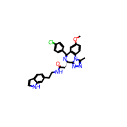 COc1ccc2c(c1)C(c1ccc(Cl)cc1)=N[C@@H](CC(=O)NCCc1ccc3cc[nH]c3c1)c1nnc(C)n1-2